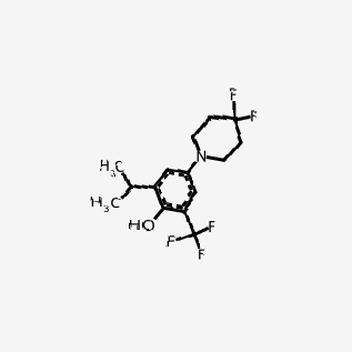 CC(C)c1cc(N2CCC(F)(F)CC2)cc(C(F)(F)F)c1O